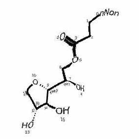 CCCCCCCCCCCC(=O)OC[C@@H](O)[C@H]1OC[C@@H](O)C1O